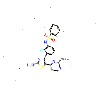 CSc1nccc(-c2sc(N)nc2-c2cccc(NS(=O)(=O)c3c(F)cccc3F)c2F)n1